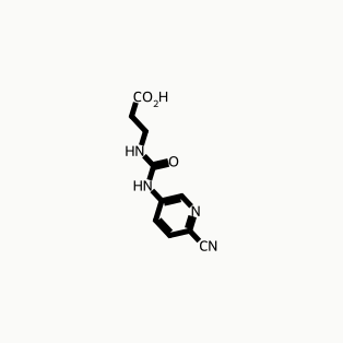 N#Cc1ccc(NC(=O)NCCC(=O)O)cn1